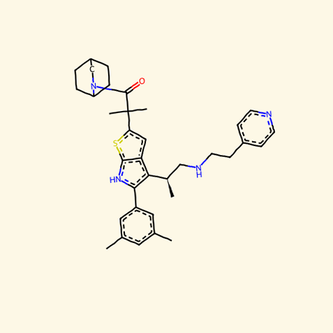 Cc1cc(C)cc(-c2[nH]c3sc(C(C)(C)C(=O)N4CC5CCC4CC5)cc3c2[C@H](C)CNCCc2ccncc2)c1